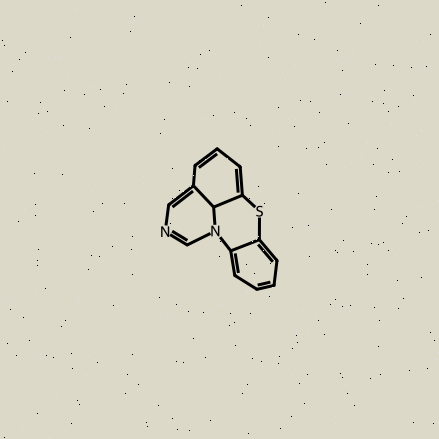 C1=CC2=CN=CN3c4ccccc4SC(=C1)C23